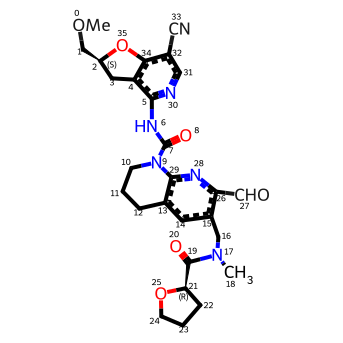 COC[C@@H]1Cc2c(NC(=O)N3CCCc4cc(CN(C)C(=O)[C@H]5CCCO5)c(C=O)nc43)ncc(C#N)c2O1